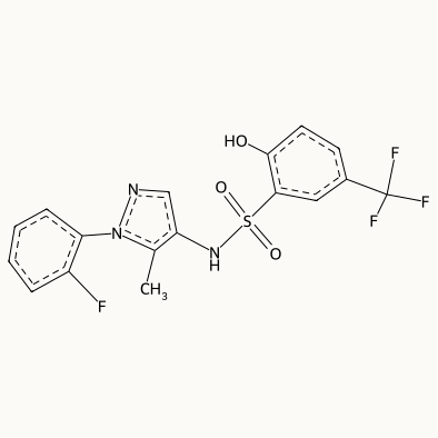 Cc1c(NS(=O)(=O)c2cc(C(F)(F)F)ccc2O)cnn1-c1ccccc1F